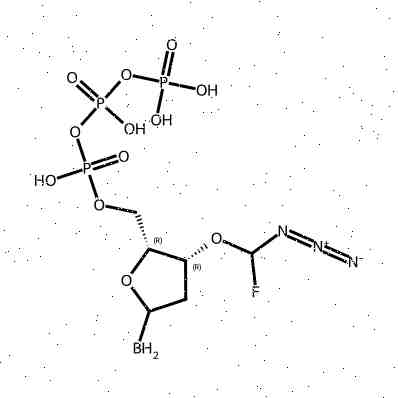 BC1C[C@@H](OC(F)N=[N+]=[N-])[C@@H](COP(=O)(O)OP(=O)(O)OP(=O)(O)O)O1